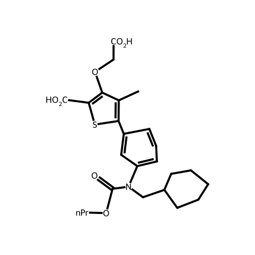 CCCOC(=O)N(CC1CCCCC1)c1cccc(-c2sc(C(=O)O)c(OCC(=O)O)c2C)c1